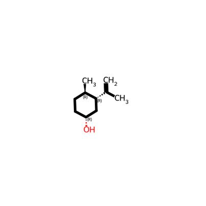 C=C(C)[C@@H]1C[C@H](O)CC[C@H]1C